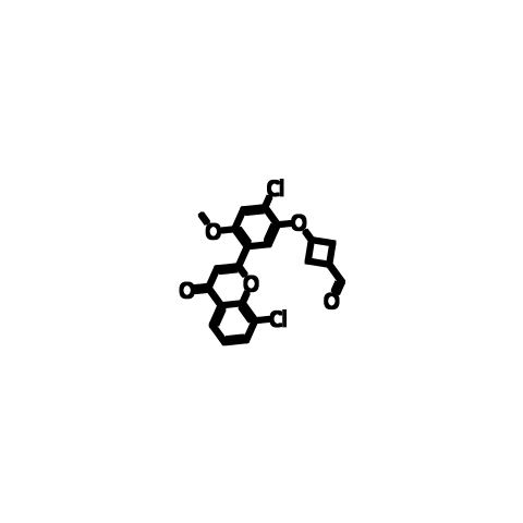 COc1cc(Cl)c(OC2CC(C=O)C2)cc1-c1cc(=O)c2cccc(Cl)c2o1